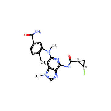 Cc1ccc(C(N)=O)cc1N(C)c1cc2c(ncn2C)c(NC(=O)[C@H]2C[C@H]2F)n1